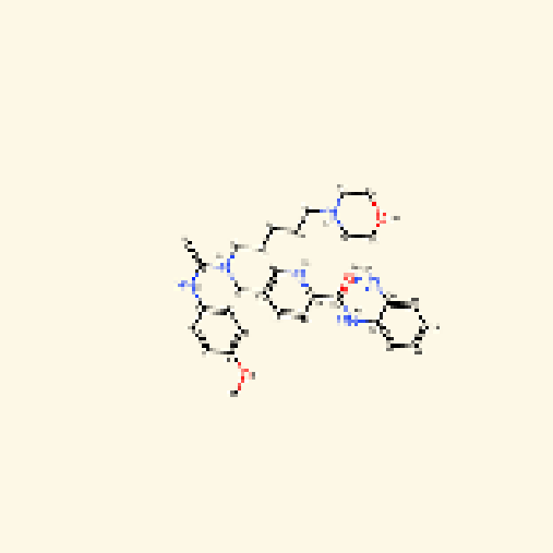 C=C(Nc1ccc(OC)cc1)N(CCCCCN1CCOCC1)Cc1ccc(C(=O)Nc2ccccc2N)nc1